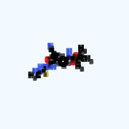 CNC(=S)NNC(=O)C[C@]1(c2cccc(NC(=O)OC(C)(C)C)c2)C[C@H](C#N)C1